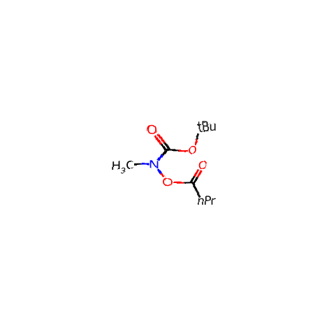 CCCC(=O)ON(C)C(=O)OC(C)(C)C